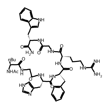 CCCC[C@H](NC(C)=O)C(=O)NCC(=O)N[C@@H](Cc1c[nH]cn1)C(=O)N[C@@H](Cc1ccccc1)C(=O)N[C@@H](CCCNC(=N)N)C(=O)NCC(=O)N[C@@H](Cc1c[nH]c2ccccc12)C(N)=O